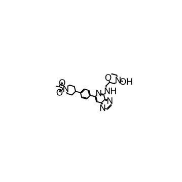 CS(=O)(=O)N1CCC(c2ccc(-c3cc4nccnc4c(NCC4CN(O)CCO4)n3)cc2)CC1